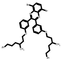 CC(C)CCCC(C)CCOc1cccc(-c2nc3c(Br)ccc(Br)c3nc2-c2cccc(OCCC(C)CCCC(C)C)c2)c1